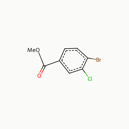 COC(=O)c1ccc(Br)c(Cl)c1